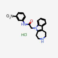 Cl.O=C(Cn1c2c(c3ccccc31)CCNCC2)Nc1cccc([N+](=O)[O-])c1